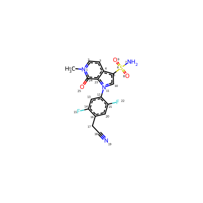 Cn1ccc2c(S(N)(=O)=O)cn(-c3cc(F)c(CC#N)cc3F)c2c1=O